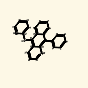 c1ccc(-c2c3ccccc3c(Sc3ccccn3)c3cccnc23)cc1